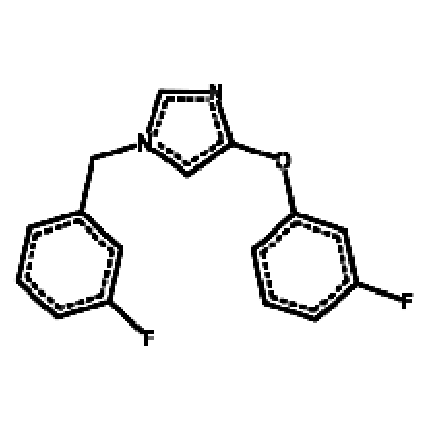 Fc1cccc(Cn2cnc(Oc3cccc(F)c3)c2)c1